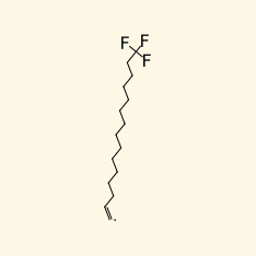 [CH]=CCCCCCCCCCCCCC(F)(F)F